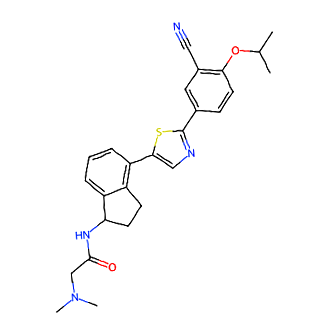 CC(C)Oc1ccc(-c2ncc(-c3cccc4c3CCC4NC(=O)CN(C)C)s2)cc1C#N